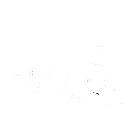 CC1(C(=O)N2Cc3ccc(C(=O)NO)cc3OC[C@@H]2C2C=CC=CC2)CCOCC1